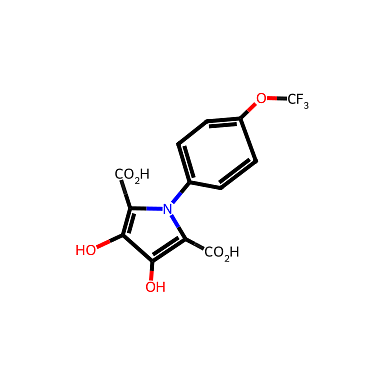 O=C(O)c1c(O)c(O)c(C(=O)O)n1-c1ccc(OC(F)(F)F)cc1